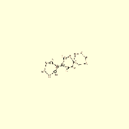 C1CCC2(CC1)COB(B1OCCCO1)OC2